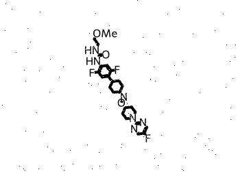 COCCNC(=O)Nc1cc(F)c(C2CCC(=NOC3CCN(c4ncc(F)cn4)CC3)CC2)cc1F